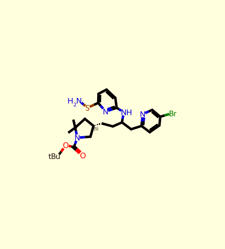 CC(C)(C)OC(=O)N1C[C@@H](CCC(Cc2ccc(Br)cn2)Nc2cccc(SN)n2)CC1(C)C